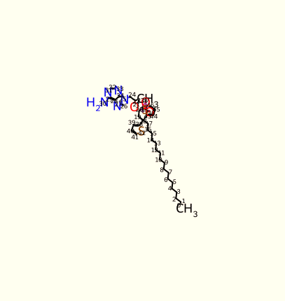 CCCCCCCCCCCCCCCCCCC(CC(OC(C)Cn1cnc2c(N)ncnc21)P(=O)=O)(c1cccs1)c1cccs1